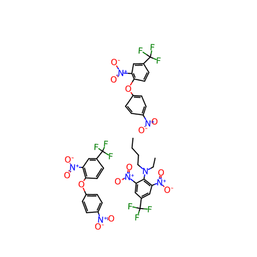 CCCCN(CC)c1c([N+](=O)[O-])cc(C(F)(F)F)cc1[N+](=O)[O-].O=[N+]([O-])c1ccc(Oc2ccc(C(F)(F)F)cc2[N+](=O)[O-])cc1.O=[N+]([O-])c1ccc(Oc2ccc(C(F)(F)F)cc2[N+](=O)[O-])cc1